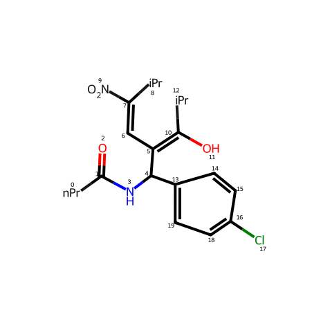 CCCC(=O)NC(C(/C=C(\C(C)C)[N+](=O)[O-])=C(\O)C(C)C)c1ccc(Cl)cc1